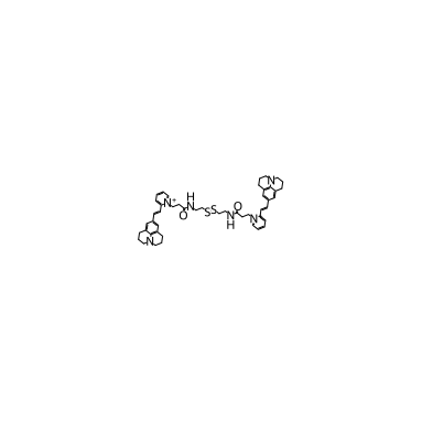 O=C(CC[n+]1ccccc1/C=C/c1cc2c3c(c1)CCCN3CCC2)NCCSSCCNC(=O)CC[n+]1ccccc1/C=C/c1cc2c3c(c1)CCCN3CCC2